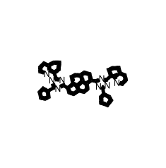 c1ccc(-c2nc(-c3ccc4ccc5c(-c6nc(-c7ccccc7)nc(-c7cccc8cccnc78)n6)ccc6ccc3c4c65)nc(-c3cccc4cccnc34)n2)cc1